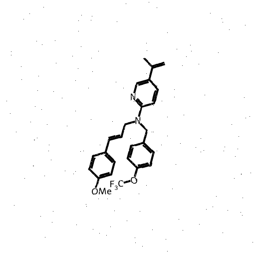 C=C(C)c1ccc(N(CC=Cc2ccc(OC)cc2)Cc2ccc(OC(F)(F)F)cc2)nc1